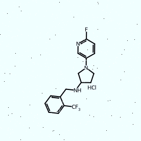 Cl.Fc1ccc(N2CCC(NCc3ccccc3C(F)(F)F)C2)cn1